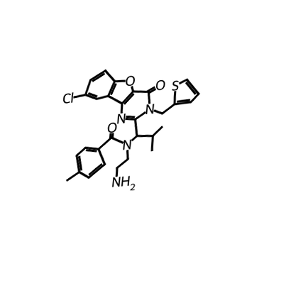 Cc1ccc(C(=O)N(CCN)C(c2nc3c(oc4ccc(Cl)cc43)c(=O)n2Cc2cccs2)C(C)C)cc1